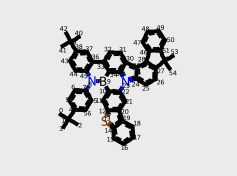 CC(C)(C)c1ccc(N2B3c4cc5sc6ccccc6c5cc4-n4c5ccc6c(c5c5ccc(c3c54)-c3cc(C(C)(C)C)ccc32)-c2ccccc2C6(C)C)cc1